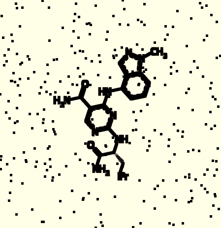 CC(C)C[C@@H](Nc1ncc(C(N)=O)c(Nc2cccc3c2cnn3C)n1)C(N)=O